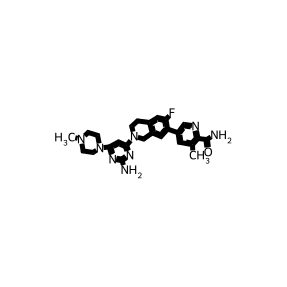 Cc1cc(-c2cc3c(cc2F)CCN(c2cc(N4CCN(C)CC4)nc(N)n2)C3)cnc1C(N)=O